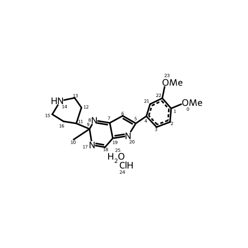 COc1ccc(C2=CC3=NC(C)(C4CCNCC4)N=CC3=N2)cc1OC.Cl.O